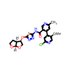 COc1cnc(Cl)cc1-c1cc(C)ncc1C(=O)Nc1nnc(O[C@H]2CO[C@H]3OCC[C@H]32)s1